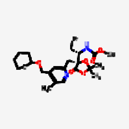 Cc1cnc(C[C@]2([C@H](CC(C)C)NC(=O)OC(C)(C)C)OC(C)(C)OC2=O)cc1COC1CCCCC1